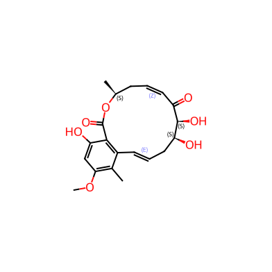 COc1cc(O)c2c(c1C)/C=C/C[C@H](O)[C@H](O)C(=O)/C=C\C[C@H](C)OC2=O